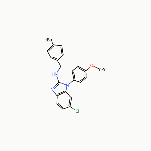 CCCOc1ccc(-n2c(NCc3ccc(C(C)(C)C)cc3)nc3ccc(Cl)cc32)cc1